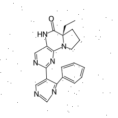 CC[C@@]12CCCN1c1nc(-c3cncnc3-c3ccccc3)ncc1NC2=O